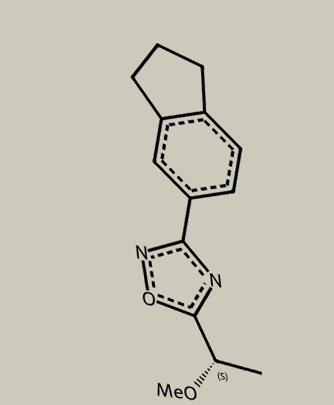 CO[C@@H](C)c1nc(-c2ccc3c(c2)CCC3)no1